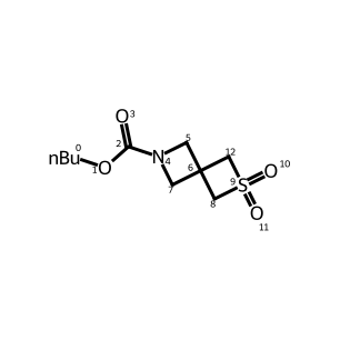 CCCCOC(=O)N1CC2(C1)CS(=O)(=O)C2